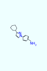 NCc1ccc(-n2ccc(C3CCCCC3)n2)cc1